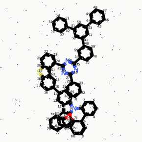 C1=C=C(c2ccccc2-n2c3c(c4cc(-c5ccc6sc7cccc(-c8nc(-c9ccccc9)nc(-c9cccc(-c%10cc(-c%11ccccc%11)cc(-c%11ccccc%11)c%10)c9)n8)c7c6c5)ccc42)C=CCC3)c2oc3ccccc3c2C=1